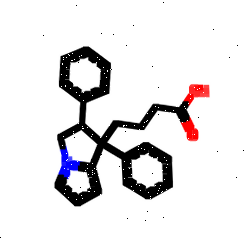 O=C(O)CCCC1(c2ccccc2)c2cccn2CC1c1ccccc1